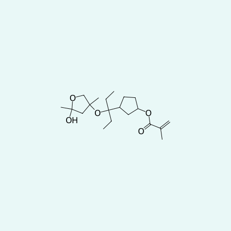 C=C(C)C(=O)OC1CCC(C(CC)(CC)OC2(C)COC(C)(O)C2)C1